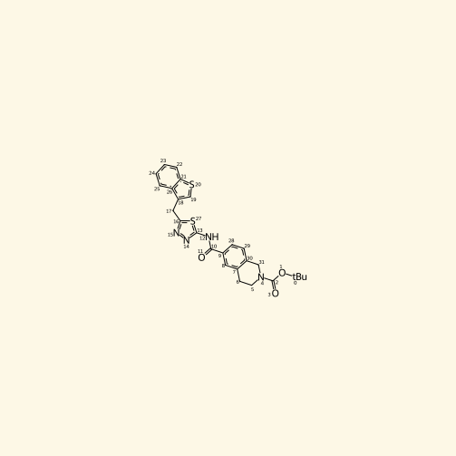 CC(C)(C)OC(=O)N1CCc2cc(C(=O)Nc3nnc(Cc4csc5ccccc45)s3)ccc2C1